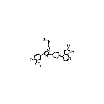 CC(C)(C)NCCn1cc(-c2ccc(F)c(C(F)(F)F)c2)nc1C1CCN(c2ncnc3c2CC(=O)N3)CC1